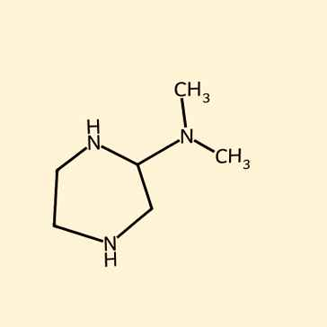 CN(C)C1CNCCN1